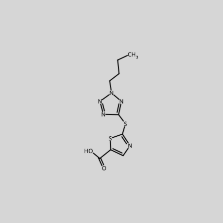 CCCCn1nnc(Sc2ncc(C(=O)O)s2)n1